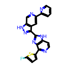 Fc1ccc(-c2nccc3[nH]c(-c4n[nH]c5cnc(-c6ccccn6)cc45)nc23)s1